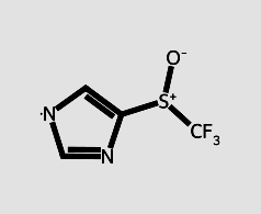 [O-][S+](C1=C[N]C=N1)C(F)(F)F